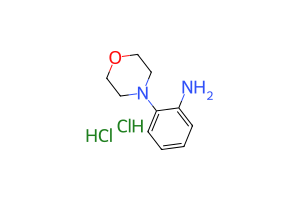 Cl.Cl.Nc1ccccc1N1CCOCC1